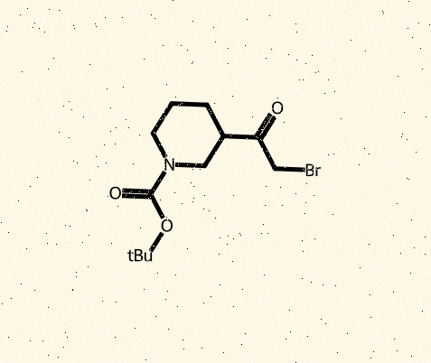 CC(C)(C)OC(=O)N1CCCC(C(=O)CBr)C1